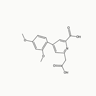 COc1ccc(-c2cc(CC(=O)O)nc(C(=O)O)c2)c(OC)c1